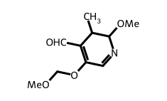 COCOC1=C(C=O)C(C)C(OC)N=C1